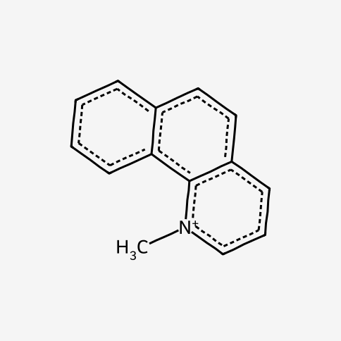 C[n+]1cccc2ccc3ccccc3c21